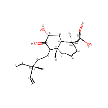 C=C[C@](C)(CC)CCC1C(=O)[C@H](O)CC2[C@]1(C)CCC[C@]2(C)C(=O)O